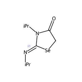 CC(C)/N=C1\[Se]CC(=O)N1C(C)C